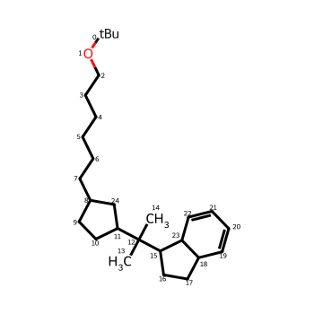 CC(C)(C)OCCCCCCC1CCC(C(C)(C)C2CCC3C=CC=CC32)C1